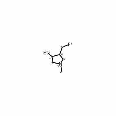 CCC1CN(C)CC1CF